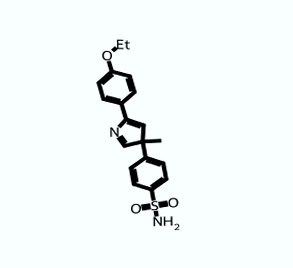 CCOc1ccc(C2=CC(C)(c3ccc(S(N)(=O)=O)cc3)C=N2)cc1